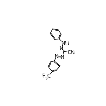 N#CC(N=Nc1ccc(C(F)(F)F)cc1)=NNc1ccccc1